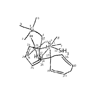 C[Si](C)(C)C[C]1([Hf]([CH3])([CH3])([CH3])([CH3])([SiH3])([SiH3])[C]2(C[Si](C)(C)C)C=CC=C2)C=CC=C1